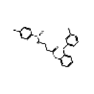 Cc1ccc([S+]([O-])NCCC(=O)Oc2ccccc2Cc2cccc(C)c2)cc1